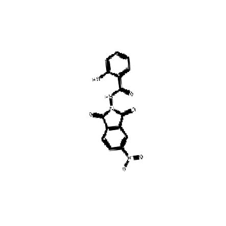 O=C(NN1C(=O)c2ccc([N+](=O)[O-])cc2C1=O)c1ccccc1O